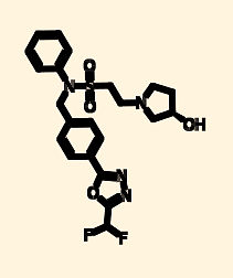 O=S(=O)(CCN1CC[C@@H](O)C1)N(Cc1ccc(-c2nnc(C(F)F)o2)cc1)c1ccccc1